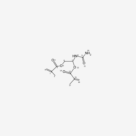 C=C(C)C(=O)OCC(NC(N)=O)OC(=O)C(=C)C